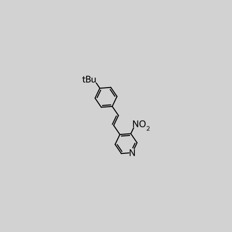 CC(C)(C)c1ccc(/C=C/c2ccncc2[N+](=O)[O-])cc1